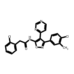 Cc1cc(-c2noc(NC(=O)Cc3ccccc3Cl)c2-c2ccncn2)ccc1Cl